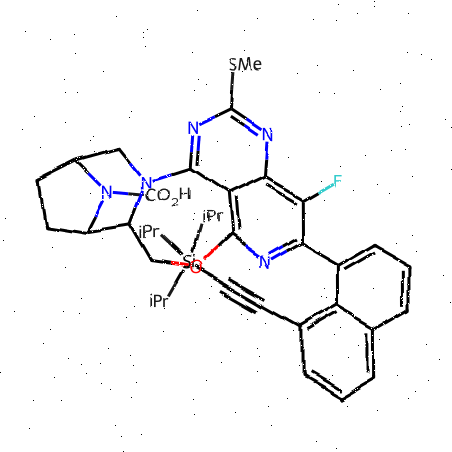 CSc1nc2c3c(nc(-c4cccc5cccc(C#C[Si](C(C)C)(C(C)C)C(C)C)c45)c(F)c3n1)OCC1C3CCC(CN21)N3C(=O)O